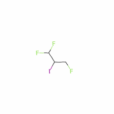 FCC(I)C(F)F